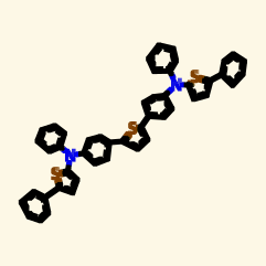 c1ccc(-c2ccc(N(c3ccccc3)c3ccc(-c4ccc(-c5ccc(N(c6ccccc6)c6ccc(-c7ccccc7)s6)cc5)s4)cc3)s2)cc1